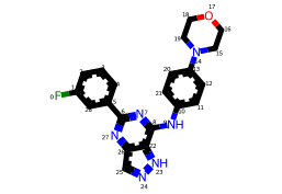 Fc1cccc(-c2nc(Nc3ccc(N4CCOCC4)cc3)c3[nH]ncc3n2)c1